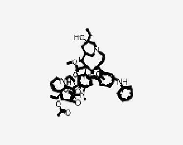 CC[C@]1(O)C[C@H]2CN(CCc3c([nH]c4ccc(Nc5ccccc5)cc34)[C@@](C(=O)OC)(c3cc4c(cc3OC)N(C)[C@@]35O[C@]3(C(=O)OC)[C@H](OC(C)=O)[C@]3(CC)C=CCN6CC[C@]45[C@@H]63)C2)C1